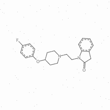 O=C1Cc2ccccc2N1CCN1CCC(Oc2ccc(F)cc2)CC1